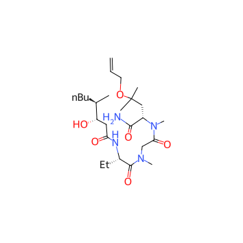 C=CCOC(C)(C)C[C@@H](C(N)=O)N(C)C(=O)CN(C)C(=O)[C@H](CC)NC(=O)C[C@H](O)[C@H](C)CCCC